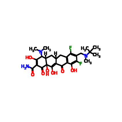 CN(C)[C@@H]1C(O)=C(C(N)=O)C(=O)[C@@]2(O)C(O)=C3C(=O)c4c(O)c(F)c(CN(C)C(C)(C)C)c(F)c4C[C@H]3C[C@@H]12